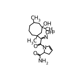 CC1CCCC(C)(/C(=N\O)C(=O)N2C=CCC2C(N)=O)C[C@@](C)(O)C1